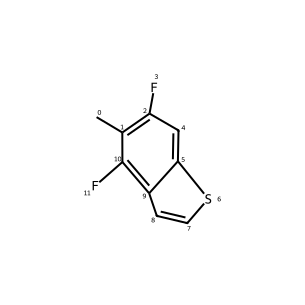 Cc1c(F)cc2sccc2c1F